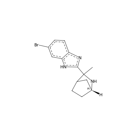 CC1(c2nc3ccc(Br)cc3[nH]2)N[C@@H]2CCC1C2